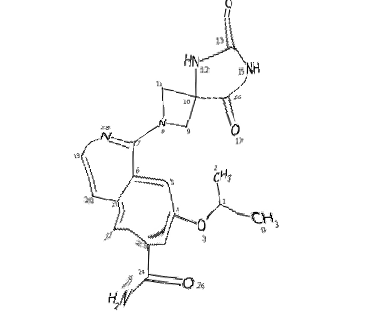 CC(C)Oc1cc2c(N3CC4(C3)NC(=O)NC4=O)nccc2cc1C(N)=O